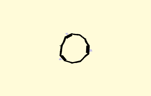 [CH]1/C=C\CC/C=C\CC/C=C\1